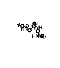 CC(C)(C)c1ccc(C(=O)Nc2cccc(-c3cn4ccnc4c(Nc4ccc(C(=N)N5CCOCC5)cc4)n3)c2)cc1